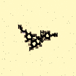 Cc1cc(/C=C/C#N)cc(C)c1-c1cc(F)cc2cnc(Nc3ccc(C#N)cc3)nc12